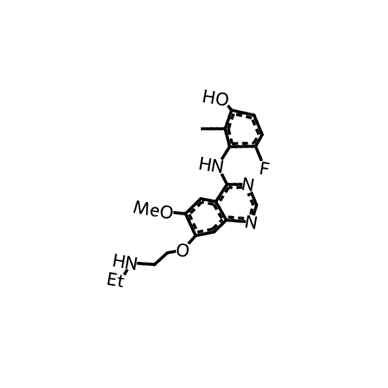 CCNCCOc1cc2ncnc(Nc3c(F)ccc(O)c3C)c2cc1OC